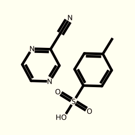 Cc1ccc(S(=O)(=O)O)cc1.N#Cc1cnccn1